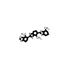 Cc1cccc2sc(-c3ccc4nc(-c5ccc6ncoc6c5C)sc4c3C)nc12